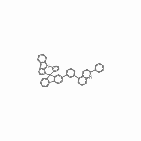 c1ccc(-c2ccc3c(-c4cccc(-c5ccc6c(c5)C5(c7ccccc7-6)c6ccccc6-n6c7ccccc7c7cccc5c76)c4)cccc3n2)cc1